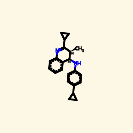 C[C@H]1C(C2CC2)=Nc2ccccc2[C@@H]1Nc1ccc(C2CC2)cc1